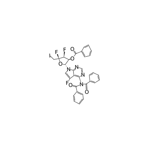 O=C(O[C@H]1[C@H](n2cc(F)c3c(N(C(=O)c4ccccc4)C(=O)c4ccccc4)ncnc32)O[C@](F)(CI)[C@H]1F)c1ccccc1